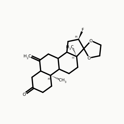 C=C1CC2C(CC[C@@]3(C)C2C[C@@H](F)C32OCCO2)[C@@]2(C)CCC(=O)CC12